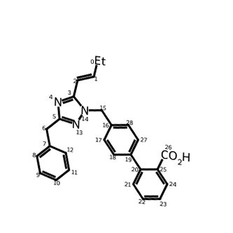 CCC=Cc1nc(Cc2ccccc2)nn1Cc1ccc(-c2ccccc2C(=O)O)cc1